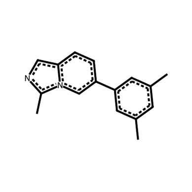 Cc1cc(C)cc(-c2ccc3cnc(C)n3c2)c1